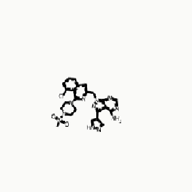 CS(=O)(=O)N1CCN(c2nc(Cn3nc(-c4cn[nH]c4)c4c(N)ncnc43)cc3cccc(Cl)c23)CC1